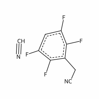 C#N.N#CCc1c(F)c(F)cc(F)c1F